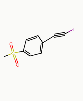 CS(=O)(=O)c1ccc(C#CI)cc1